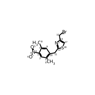 Cc1cc([N+](=O)[O-])c(C)cc1Cc1nc(CBr)cs1